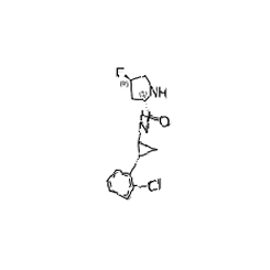 O=C(NC1CC1c1ccccc1Cl)[C@@H]1C[C@@H](F)CN1